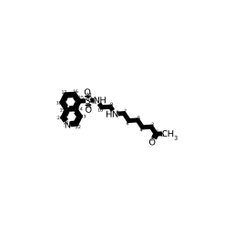 CC(=O)CCCCCNCCNS(=O)(=O)c1cccc2cnccc12